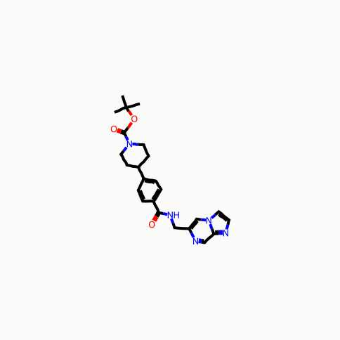 CC(C)(C)OC(=O)N1CCC(c2ccc(C(=O)NCc3cn4ccnc4cn3)cc2)CC1